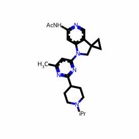 CC(=O)Nc1cc2c(cn1)C1(CC1)CN2c1cc(C)nc(C2CCN(C(C)C)CC2)n1